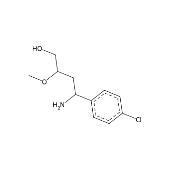 COC(CO)CC(N)c1ccc(Cl)cc1